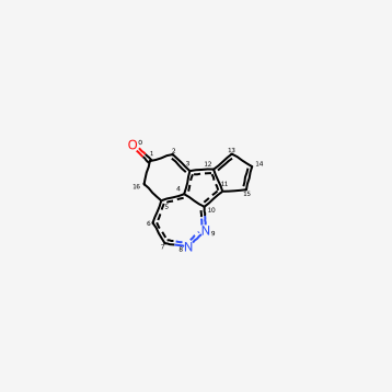 O=C1C=c2c3c(ccnnc-3c3c2=CC=C3)C1